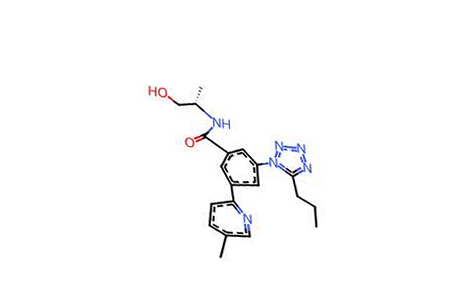 CCCc1nnnn1-c1cc(C(=O)N[C@@H](C)CO)cc(-c2ccc(C)cn2)c1